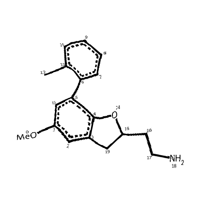 COc1cc2c(c(-c3ccccc3C)c1)OC(CCN)C2